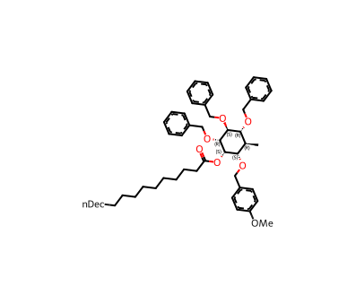 CCCCCCCCCCCCCCCCCCCC(=O)O[C@@H]1[C@H](OCc2ccccc2)[C@@H](OCc2ccccc2)[C@H](OCc2ccccc2)[C@@H](C)[C@@H]1OCc1ccc(OC)cc1